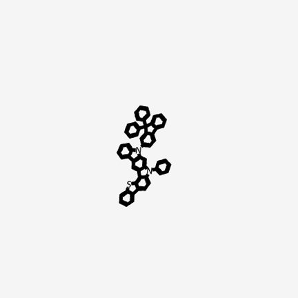 c1ccc(-n2c3cc4c(cc3c3c5sc6ccccc6c5ccc32)c2ccccc2n4-c2ccc3c(c2)C(c2ccccc2)(c2ccccc2)c2ccccc2-3)cc1